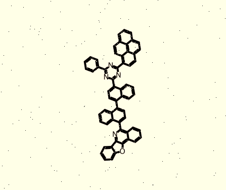 c1ccc(-c2nc(-c3ccc(-c4ccc(-c5nc6c7ccccc7oc6c6ccccc56)c5ccccc45)c4ccccc34)nc(-c3ccc4ccc5cccc6ccc3c4c56)n2)cc1